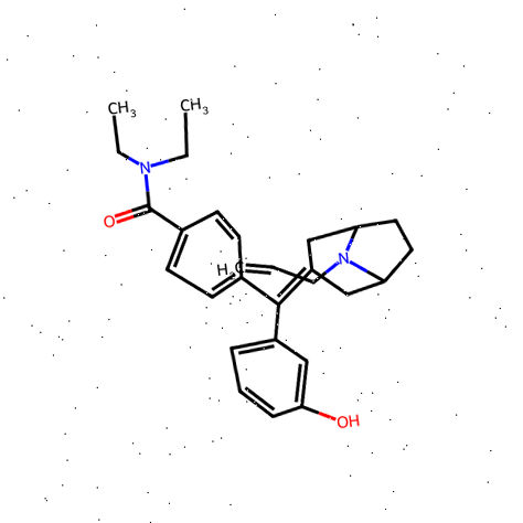 C=CCN1C2CCC1CC(=C(c1ccc(C(=O)N(CC)CC)cc1)c1cccc(O)c1)C2